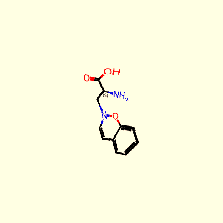 N[C@@H](CN1C=Cc2ccccc2O1)C(=O)O